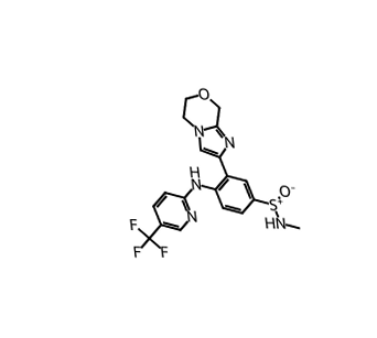 CN[S+]([O-])c1ccc(Nc2ccc(C(F)(F)F)cn2)c(-c2cn3c(n2)COCC3)c1